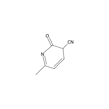 CC1=NC(=O)C(C#N)C=C1